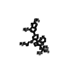 COCOc1cc(-c2cc(C)c3nn(C)cc3c2)ccc1C1(c2cccnn2)CCN1C(=O)OC(C)(C)C